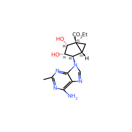 CCOC(=O)[C@@]12C[C@@H]1[C@@H](n1cnc3c(N)nc(C)nc31)[C@H](O)[C@@H]2O